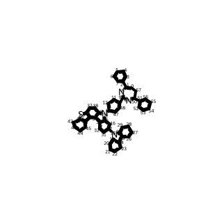 C1=C(c2ccccc2)N=C(c2ccc(-n3c4cc(-n5c6ccccc6c6ccccc65)ccc4c4c5c(ccc43)sc3ccccc35)cc2)N=C(c2ccccc2)C1